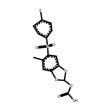 Cc1cc2c(cc1S(=O)(=O)c1ccc(F)cc1)OC(OC(=O)O)O2